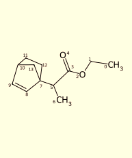 CCOC(=O)C(C)C12C=CC(CC1)C2